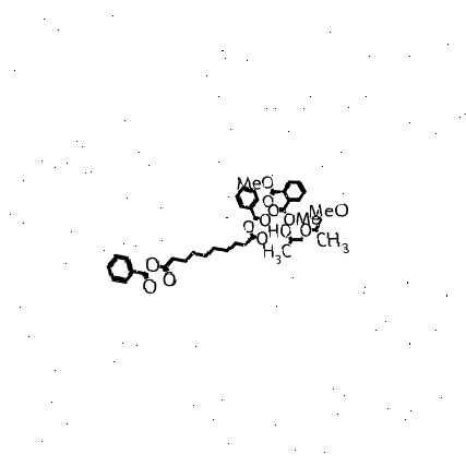 COC(=O)c1ccccc1C(=O)OC.COCC(C)OCC(C)O.O=C(CCCCCCCCC(=O)OC(=O)c1ccccc1)OC(=O)c1ccccc1